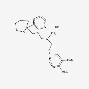 COc1ccc(CCN(C)CCCC2(c3ccccc3)SCCCS2)cc1OC.Cl